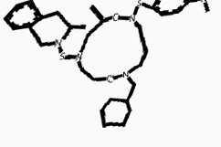 CC1CN(Sc2ccc(N(C)C)cc2)CCCN(CC2CCCCC2)CCCN(SN2Cc3ccccc3CC2C)C1